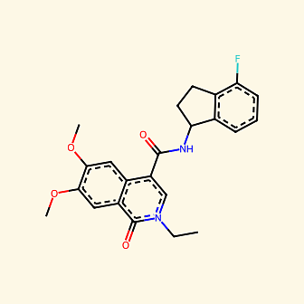 CCn1cc(C(=O)NC2CCc3c(F)cccc32)c2cc(OC)c(OC)cc2c1=O